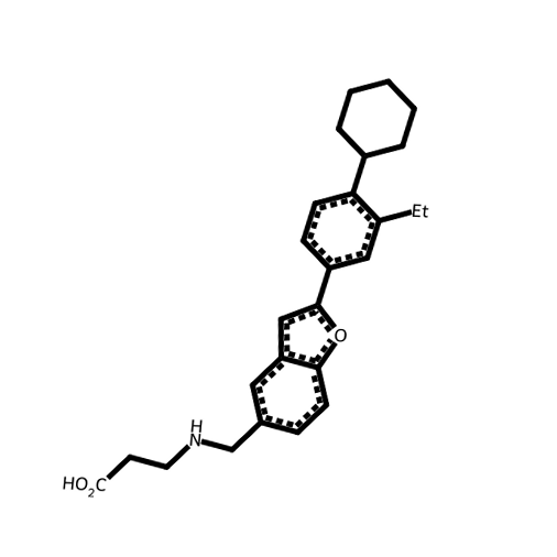 CCc1cc(-c2cc3cc(CNCCC(=O)O)ccc3o2)ccc1C1CCCCC1